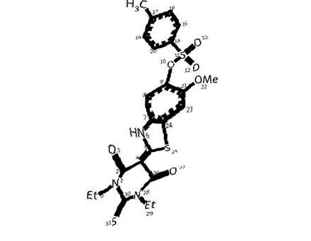 CCN1C(=O)C(=C2Nc3cc(OS(=O)(=O)c4ccc(C)cc4)c(OC)cc3S2)C(=O)N(CC)C1=S